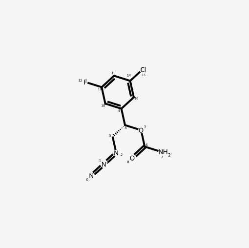 [N-]=[N+]=NC[C@@H](OC(N)=O)c1cc(F)cc(Cl)c1